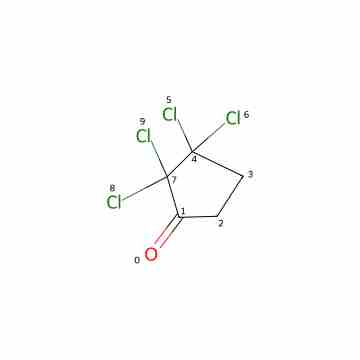 O=C1CCC(Cl)(Cl)C1(Cl)Cl